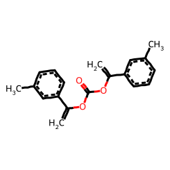 C=C(OC(=O)OC(=C)c1cccc(C)c1)c1cccc(C)c1